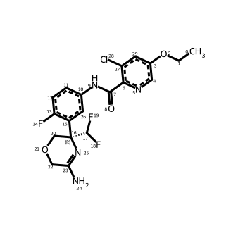 CCOc1cnc(C(=O)Nc2ccc(F)c([C@]3(C(F)F)COCC(N)=N3)c2)c(Cl)c1